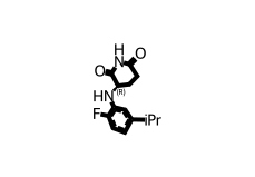 CC(C)c1ccc(F)c(N[C@@H]2CCC(=O)NC2=O)c1